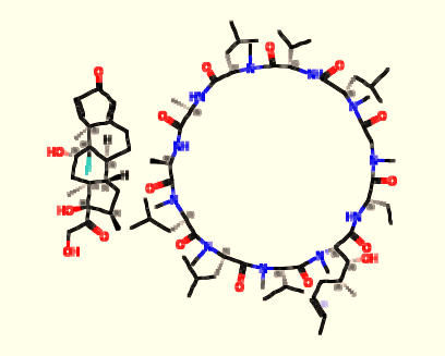 C/C=C/C[C@@H](C)[C@@H](O)[C@H]1C(=O)N[C@@H](CC)C(=O)N(C)CC(=O)N(C)[C@@H](CC(C)C)C(=O)N[C@@H](C(C)C)C(=O)N(C)[C@@H](CC(C)C)C(=O)N[C@@H](C)C(=O)N[C@H](C)C(=O)N(C)[C@@H](CC(C)C)C(=O)N(C)[C@@H](CC(C)C)C(=O)N(C)[C@@H](C(C)C)C(=O)N1C.C[C@@H]1C[C@H]2[C@@H]3CCC4=CC(=O)C=C[C@]4(C)[C@@]3(F)[C@@H](O)C[C@]2(C)[C@@]1(O)C(=O)CO